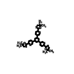 CC1(C)CN=C(c2ccc(-c3cc(-c4ccc(C5=NCC(C)(C)O5)nc4)cc(-c4ccc(C5=NCC(C)(C)O5)nc4)c3)cn2)O1